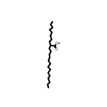 CCCCCCCCCCCCCCC(CCCCCCCC)C(=O)O